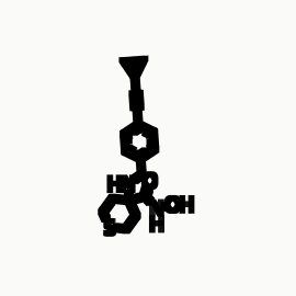 O=C(NO)C1(NCc2ccc(C#CC3CC3)cc2)CCSCC1